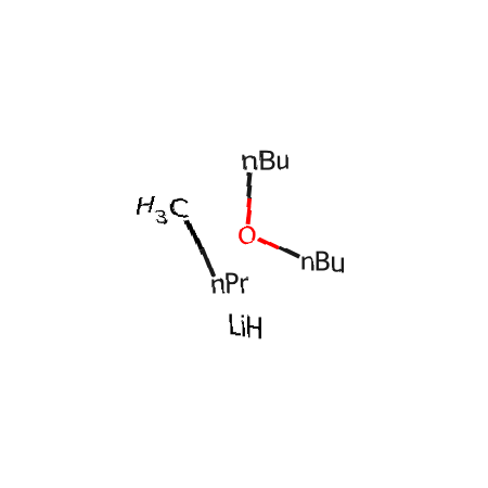 CCCC.CCCCOCCCC.[LiH]